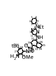 CCN(c1ccccc1)c1nccc(Nc2ccc(C(=O)C(=O)Nc3cc(C(C)(C)C)cc(N)c3OC)c3ccccc23)n1